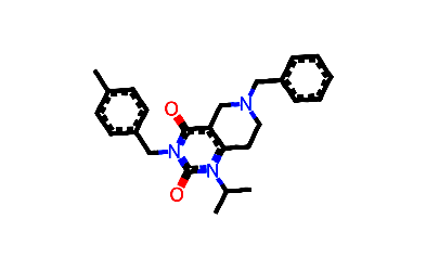 Cc1ccc(Cn2c(=O)c3c(n(C(C)C)c2=O)CCN(Cc2ccccc2)C3)cc1